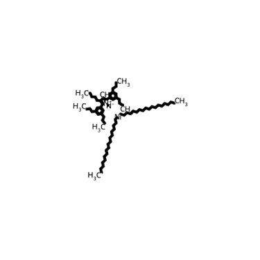 CCCCCC1=C(c2cc(CCCC)cc(CCCC)c2)[N+](=[N-])C(c2cc(CCCC)cc(CCCC)c2)=C1C.CCCCCCCCCCCCCCCCCC[CH2][Ni][CH2]CCCCCCCCCCCCCCCCCC